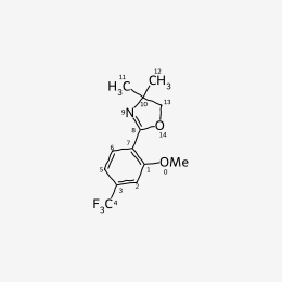 COc1cc(C(F)(F)F)ccc1C1=NC(C)(C)CO1